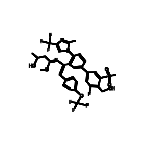 CO/C(CC(C)O)=N\C(=C\c1ccc(OC(F)(F)F)cc1)c1cc(-c2cc(F)c(CO)c(S(C)(=O)=O)c2)ccc1-n1cc(C(F)(F)F)nc1C